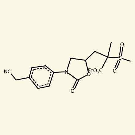 CCOC(=O)C(C)(CC1CN(c2ccc(CC#N)cc2)C(=O)O1)S(C)(=O)=O